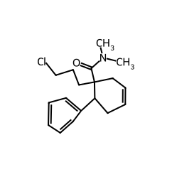 CN(C)C(=O)C1(CCCCl)CC=CCC1c1ccccc1